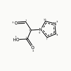 O=CC(C(=O)O)n1ccnc1